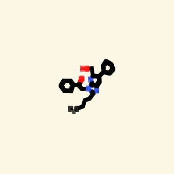 CCCCc1nc2cc(-c3ccccc3)c(CO)nc2n1CC(=O)c1ccccc1